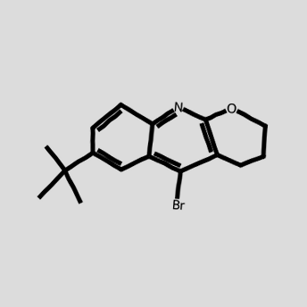 CC(C)(C)c1ccc2nc3c(c(Br)c2c1)CCCO3